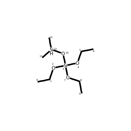 CCO[Si](OCC)(OCC)O[SiH](C)C